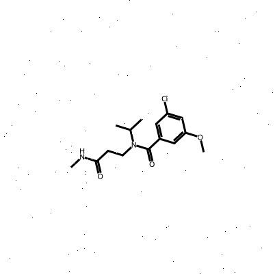 CNC(=O)CCN(C(=O)c1cc(Cl)cc(OC)c1)C(C)C